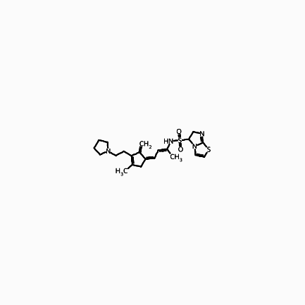 C=C1C(CCN2CCCC2)=C(C)C/C1=C/C=C(\C)NS(=O)(=O)C1CN=C2SC=CN21